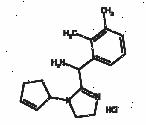 Cc1cccc(C(N)C2=NCCN2C2C=CCC2)c1C.Cl